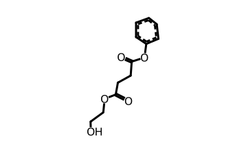 O=C(CCC(=O)Oc1ccccc1)OCCO